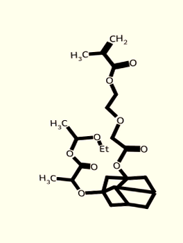 C=C(C)C(=O)OCCOCC(=O)OC12CC3CC(C1)CC(OC(C)C(=O)OC(C)OCC)(C3)C2